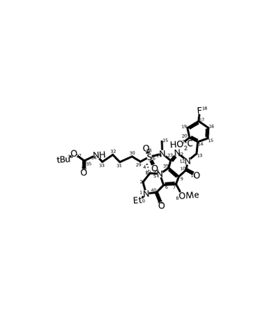 CCN1C[C@H](C)n2c(c(OC)c3c(=O)n(Cc4ccc(F)cc4C(=O)O)nc(N(C)S(=O)(=O)CCCCCNC(=O)OC(C)(C)C)c32)C1=O